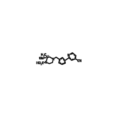 CC(C)(C)[C@@]1(C)CN(Cc2cccc(-c3cc(C#N)ccn3)c2)CCN1C(=O)O